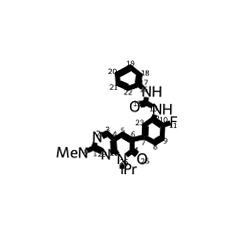 CNc1ncc2cc(-c3ccc(F)c(NC(=O)Nc4ccccc4)c3)c(=O)n(C(C)C)c2n1